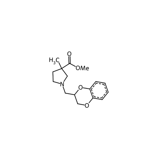 COC(=O)C1(C)CCN(CC2COc3ccccc3O2)C1